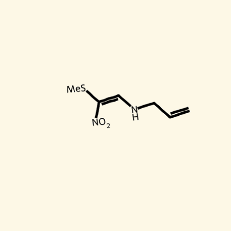 C=CCNC=C(SC)[N+](=O)[O-]